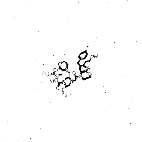 CC(C)OC[C@@H]1COCCN1C[C@H]1CN(C(=O)O)[C@H](C)CN1CC(=O)N1CCOc2nc(CCO)c(Cc3ccc(F)cc3)cc21